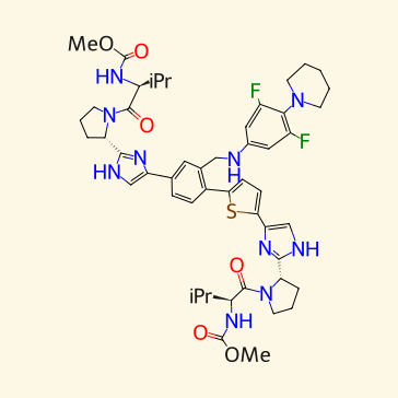 COC(=O)N[C@H](C(=O)N1CCC[C@H]1c1nc(-c2ccc(-c3ccc(-c4c[nH]c([C@@H]5CCCN5C(=O)[C@@H](NC(=O)OC)C(C)C)n4)s3)c(CNc3cc(F)c(N4CCCCC4)c(F)c3)c2)c[nH]1)C(C)C